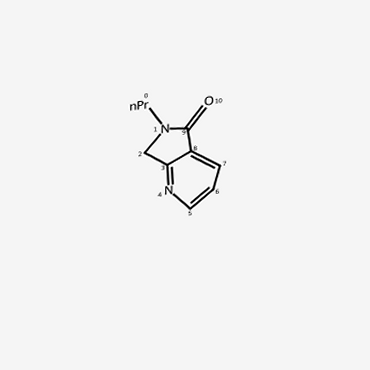 CCCN1Cc2ncccc2C1=O